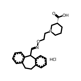 Cl.O=C(O)[C@@H]1CCCN(CCO/N=C/C2c3ccccc3CCc3ccccc32)C1